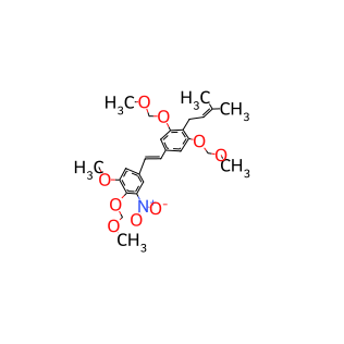 COCOc1cc(C=Cc2cc(OC)c(OCOC)c([N+](=O)[O-])c2)cc(OCOC)c1CC=C(C)C